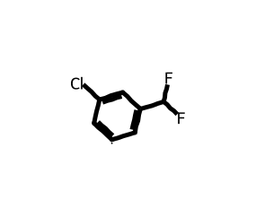 FC(F)c1c[c]cc(Cl)c1